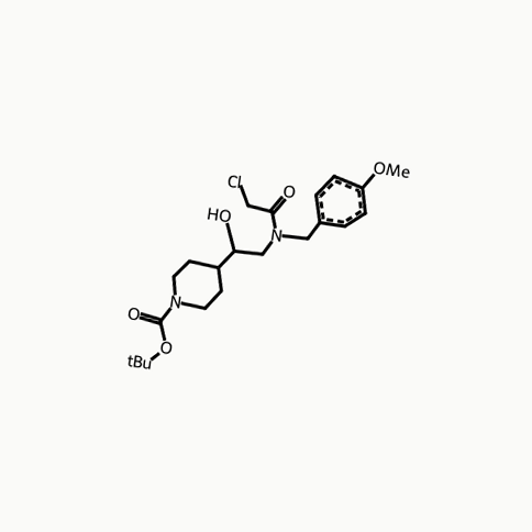 COc1ccc(CN(CC(O)C2CCN(C(=O)OC(C)(C)C)CC2)C(=O)CCl)cc1